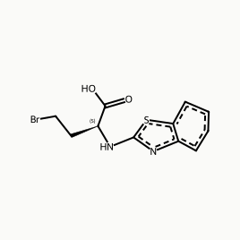 O=C(O)[C@H](CCBr)Nc1nc2ccccc2s1